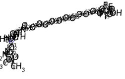 CCCN(OCC)C(=O)C1=Cc2ccc(/C(C=N)=C/NS(=O)(=O)N3CC(CNC(=O)CCOCCOCCOCCOCCOCCOCCOCCOCCOCCOCCC(=O)Oc4c(F)c(F)c(S(=O)(=O)O)c(F)c4F)C3)cc2N=C(N)C1